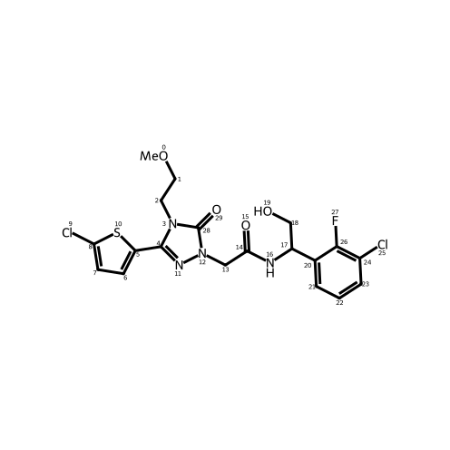 COCCn1c(-c2ccc(Cl)s2)nn(CC(=O)NC(CO)c2cccc(Cl)c2F)c1=O